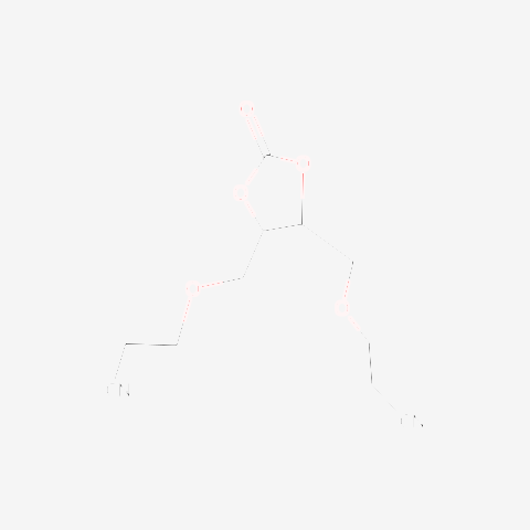 N#CCCOCC1OC(=O)OC1COCCC#N